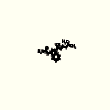 CC(C)CCCC(C)n1cc(CC(N)=O)c2ccccc21